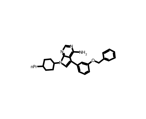 [CH2]CCC1CCC(n2cc(-c3cccc(OCc4ccccc4)c3)c3c(N)ncnc32)CC1